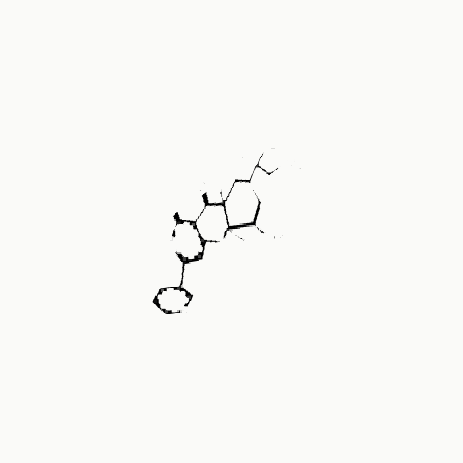 CC(=O)OC[C@](C)(O)[C@H]1C[C@@H](OC(C)=O)[C@]2(C)Oc3cc(-c4cccnc4)oc(=O)c3C(=O)[C@@H]2C1